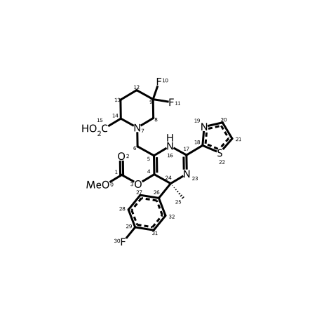 COC(=O)OC1=C(CN2CC(F)(F)CCC2C(=O)O)NC(c2nccs2)=N[C@@]1(C)c1ccc(F)cc1